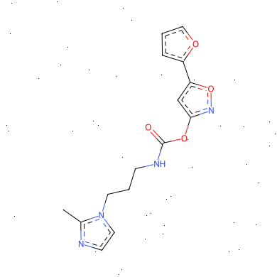 Cc1nccn1CCCNC(=O)Oc1cc(-c2ccco2)on1